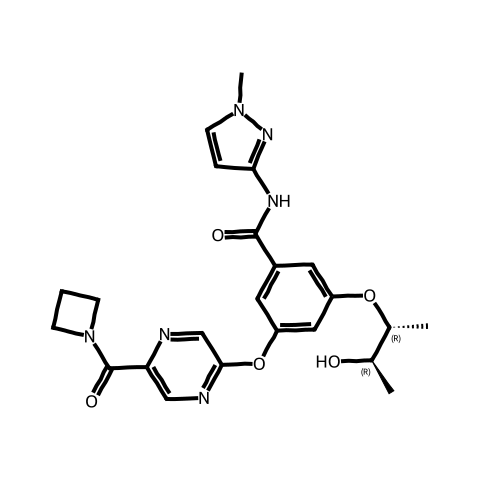 C[C@@H](O)[C@@H](C)Oc1cc(Oc2cnc(C(=O)N3CCC3)cn2)cc(C(=O)Nc2ccn(C)n2)c1